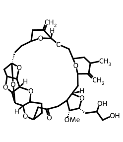 C=C1C(C)CC2CC[C@@H]3OC(CC[C@@]45CC6OC7C(O4)[C@H]4OC(CCC4O[C@H]7C6O5)CC(=O)CC4[C@H](CC1O2)O[C@H](CC(O)CO)[C@@H]4OC)CC3=C